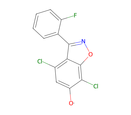 [O]c1cc(Cl)c2c(-c3ccccc3F)noc2c1Cl